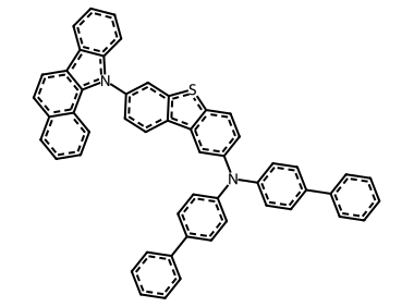 c1ccc(-c2ccc(N(c3ccc(-c4ccccc4)cc3)c3ccc4sc5cc(-n6c7ccccc7c7ccc8ccccc8c76)ccc5c4c3)cc2)cc1